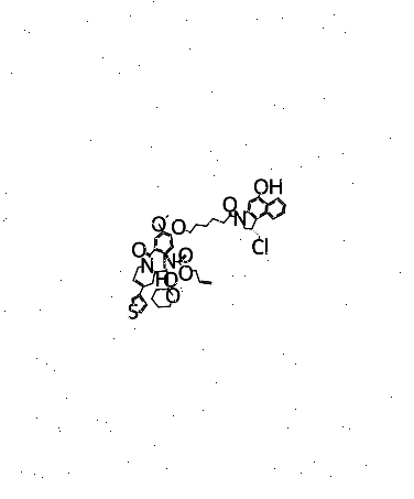 C=CCOC(=O)N1c2cc(OCCCCCC(=O)N3C[C@@H](CCl)c4c3cc(O)c3ccccc43)c(OC)cc2C(=O)N2CC=C(c3ccsc3)C[C@H]2C1OC1CCCCO1